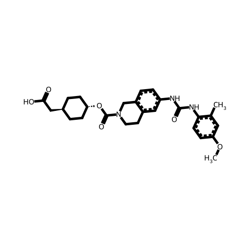 COc1ccc(NC(=O)Nc2ccc3c(c2)CCN(C(=O)O[C@H]2CC[C@H](CC(=O)O)CC2)C3)c(C)c1